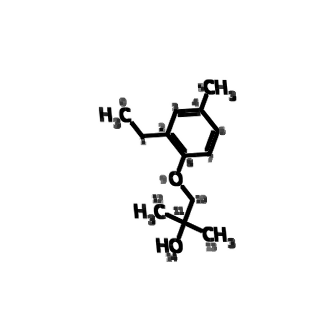 CCc1cc(C)ccc1OCC(C)(C)O